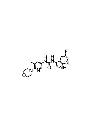 Cc1cc(NC(=O)Nc2c[nH]c3ncc(F)cc23)cnc1N1CCOCC1